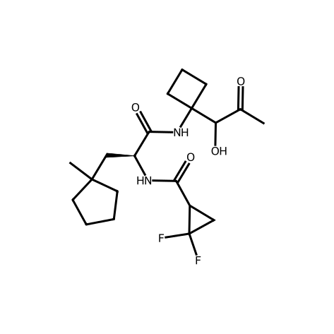 CC(=O)C(O)C1(NC(=O)[C@H](CC2(C)CCCC2)NC(=O)C2CC2(F)F)CCC1